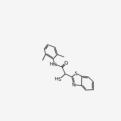 Cc1cccc(C)c1NC(=O)C(S)c1nc2ccccc2s1